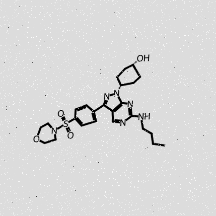 CCCCNc1ncc2c(-c3ccc(S(=O)(=O)N4CCOCC4)cc3)nn([C@H]3CC[C@@H](O)CC3)c2n1